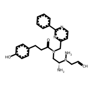 C=CCN(N)[C@H](N)CN(Cc1ccnc(-c2ccccc2)n1)C(=O)CCc1ccc(O)cc1